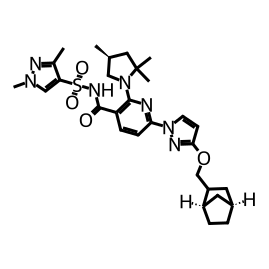 Cc1nn(C)cc1S(=O)(=O)NC(=O)c1ccc(-n2ccc(OCC3C[C@H]4CC[C@@H]3C4)n2)nc1N1C[C@@H](C)CC1(C)C